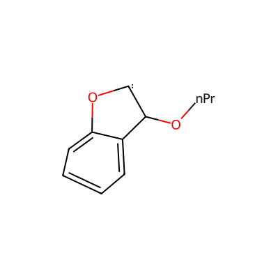 CCCOC1[C]Oc2ccccc21